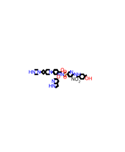 CC1(O)CCC(CNc2ncc(S(=O)(=O)NC(=O)c3ccc(N4CCC5(CC4)CC(N4CCNCC4)C5)cc3Oc3cnc4[nH]ccc4c3)cc2[N+](=O)[O-])CC1